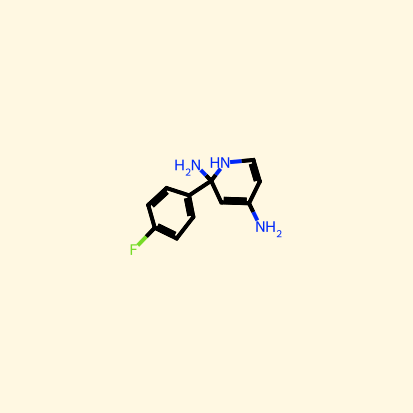 NC1=CC(N)(c2ccc(F)cc2)NC=C1